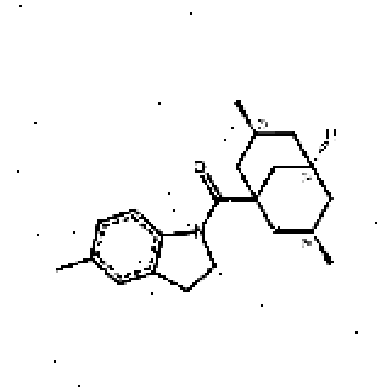 Cc1ccc2c(c1)CCN2C(=O)C12C[C@H](C)C[C@H](C[C@H](C)C1)C2